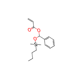 C=CC(=O)OC(O[Si](C)(C)CCCC)c1ccccc1